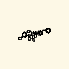 CN1C(=O)[C@@H](NC(=O)c2cn(Cc3ccccc3)cn2)COc2ccc(Cl)cc21